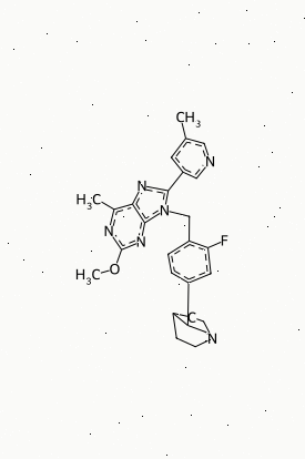 COc1nc(C)c2nc(-c3cncc(C)c3)n(Cc3ccc(C4CN5CCC4CC5)cc3F)c2n1